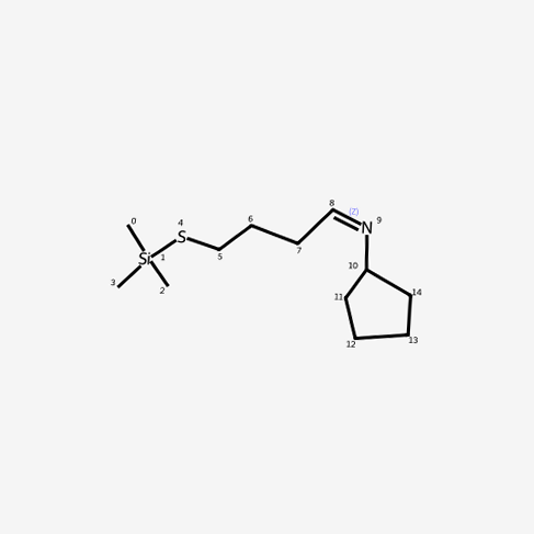 C[Si](C)(C)SCCC/C=N\C1CCCC1